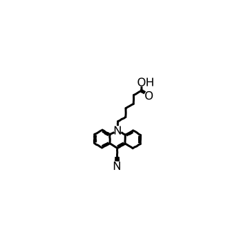 N#CC1=C2CC=CC=C2N(CCCCCC(=O)O)c2ccccc21